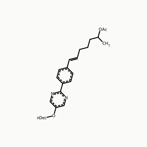 CCCCCCCCCCOc1cnc(-c2ccc(C=CCCCC(C)OC(C)=O)cc2)nc1